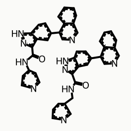 O=C(NCc1cccnc1)c1n[nH]c2ccc(-c3cncc4ccccc34)cc12.O=C(Nc1ccncc1)c1n[nH]c2ccc(-c3cncc4ccccc34)cc12